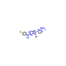 Nc1nccc(-c2nc3cnc(Nc4ccc(F)cc4)nc3n2C2CC2)n1